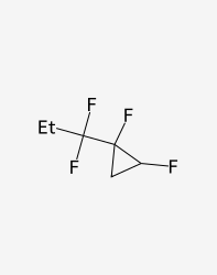 CCC(F)(F)C1(F)CC1F